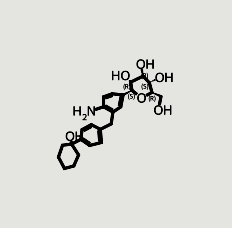 Nc1ccc([C@@H]2O[C@H](CO)[C@@H](O)[C@H](O)[C@H]2O)cc1Cc1ccc(C2(O)CCCCC2)cc1